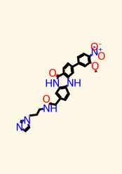 COc1cc(-c2ccc3c(c2)Nc2ccc(CC(=O)NCCCn4ccnc4)cc2NC3=O)ccc1[N+](=O)[O-]